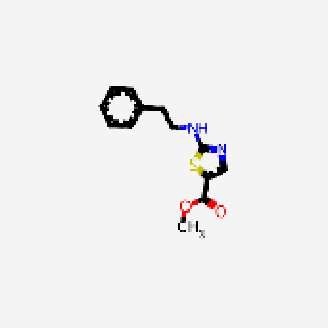 COC(=O)c1cnc(NCCc2ccccc2)s1